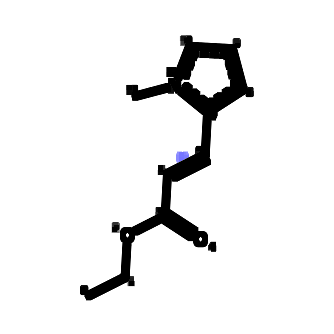 CCOC(=O)/C=C/c1cccn1C